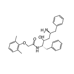 Cc1cccc(C)c1OCC(=O)N[C@@H](Cc1ccccc1)C(O)C[C@@H](N)Cc1ccccc1